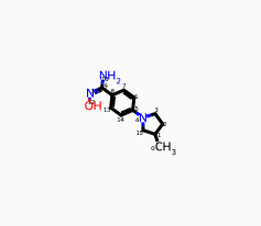 CC1CCN(c2ccc(/C(N)=N\O)cc2)C1